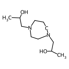 CC(O)CN1CCCN(CC(C)O)CC1